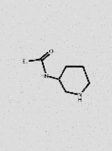 CCC(=O)NC1CCCNC1